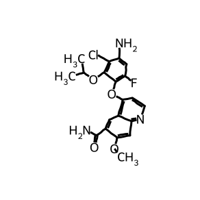 COc1cc2nccc(Oc3c(F)cc(N)c(Cl)c3OC(C)C)c2cc1C(N)=O